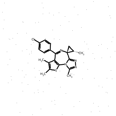 Cc1sc2c(c1C)C(c1ccc(Cl)cc1)=N[C@@]1(C[C@@H]1C)c1nnc(C)n1-2